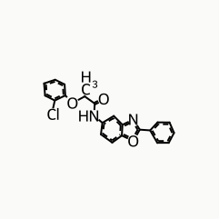 CC(Oc1ccccc1Cl)C(=O)Nc1ccc2oc(-c3ccccc3)nc2c1